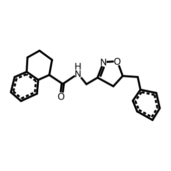 O=C(NCC1=NOC(Cc2ccccc2)C1)C1CCCc2ccccc21